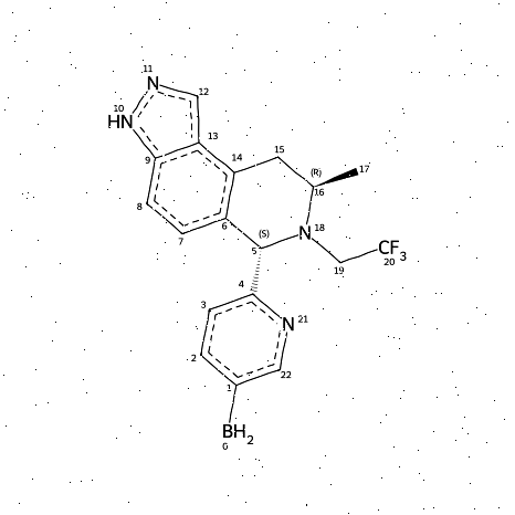 Bc1ccc([C@@H]2c3ccc4[nH]ncc4c3C[C@@H](C)N2CC(F)(F)F)nc1